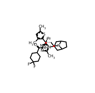 Cc1cc(C)c([C@H](CCN2C3CCC2CC(n2c(C)nnc2C(C)C)C3)NC(=O)C2CCC(F)(F)CC2)s1